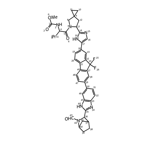 COC(=O)NC(C(=O)N1CC2(CC2)CC1c1ncc(-c2ccc3c(c2)C(F)(F)c2cc(-c4ccc5nc(C6C7CCC(C7)N6C=O)[nH]c5c4)ccc2-3)[nH]1)C(C)C